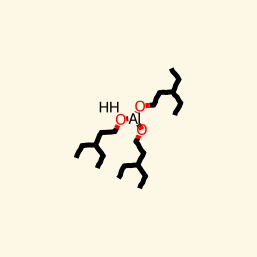 CCC(CC)CC[O][Al]([O]CCC(CC)CC)[O]CCC(CC)CC.[HH]